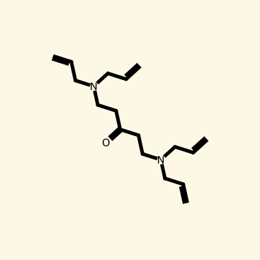 C=CCN(CC=C)CCC(=O)CCN(CC=C)CC=C